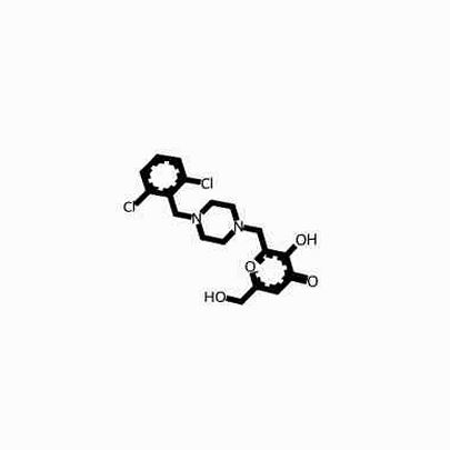 O=c1cc(CO)oc(CN2CCN(Cc3c(Cl)cccc3Cl)CC2)c1O